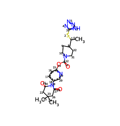 CC(Sc1nnn[nH]1)C1CCN(C(=O)Oc2ccc(N3C(=O)CC(C)(C)CC3=O)cn2)CC1